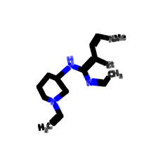 C=CN1CCCC(NC(/N=C\C)=C(\C=C/NC)CC)C1